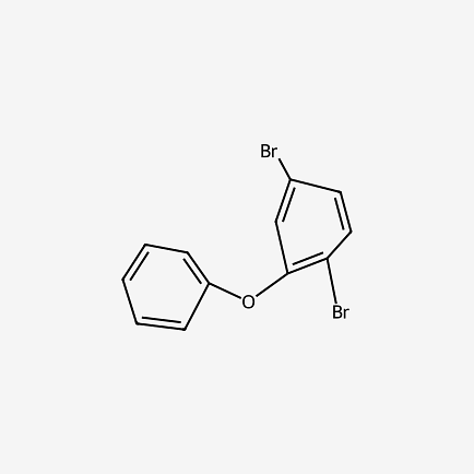 Brc1ccc(Br)c(Oc2ccccc2)c1